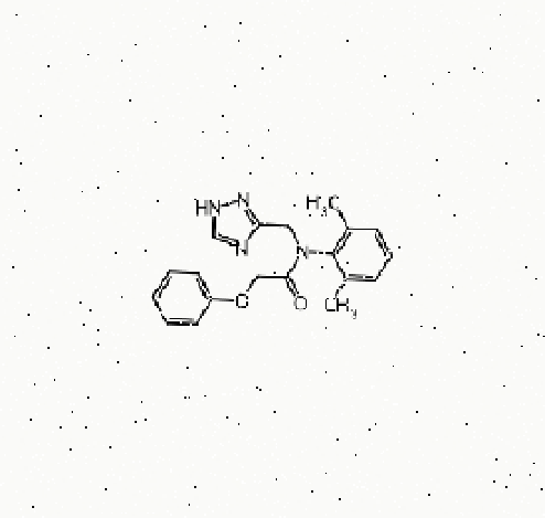 Cc1cccc(C)c1N(Cc1nc[nH]n1)C(=O)COc1ccccc1